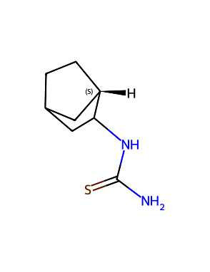 NC(=S)NC1CC2CC[C@H]1C2